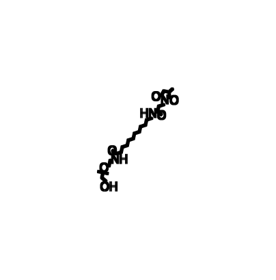 CC1CC(=O)N(CCC(=O)NCCCCCCCCCCCC(=O)NCCOC(C)(C)CCO)C1=O